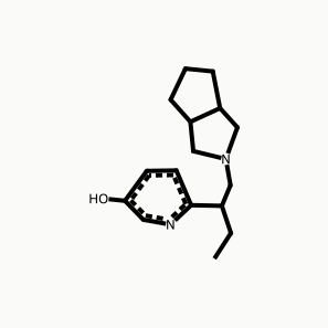 CCC(CN1CC2CCCC2C1)c1ccc(O)cn1